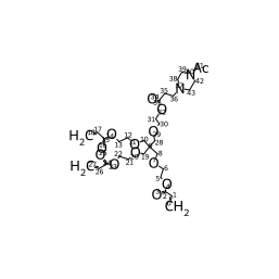 C=CC(=O)OCCOCC(COCCOC(=O)C=C)(COCCOC(=O)C=C)COCCOC(=O)CCN1CCN(C(C)=O)CC1